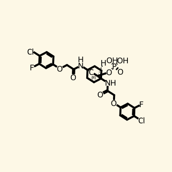 O=C(COc1ccc(Cl)c(F)c1)NC12CCC(NC(=O)COc3ccc(Cl)c(F)c3)(CC1)[C@H](OP(=O)(O)O)C2